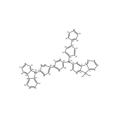 CC1(C)c2ccccc2-c2cc(N(c3ccc(-c4ccccc4)cc3)c3ccc(-c4ccc(-n5c6ccccc6c6ccccc65)cc4)cc3)ccc21